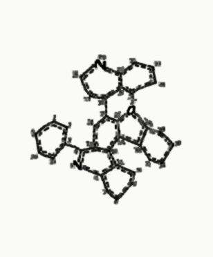 c1ccc(-c2nc3ccccc3c3c2cc(-c2ccnc4ccccc24)c2oc4ccccc4c23)cc1